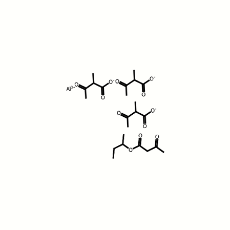 CC(=O)C(C)C(=O)[O-].CC(=O)C(C)C(=O)[O-].CC(=O)C(C)C(=O)[O-].CCC(C)OC(=O)CC(C)=O.[Al+3]